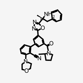 CC1CCCN1C(=O)c1cc(-c2nnc([C@](C)(N)Cc3ccccc3)o2)cc(-c2cccc(N3CCOCC3)c2C#N)c1